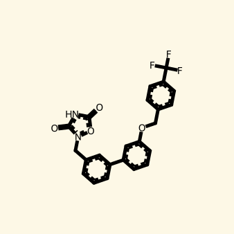 O=c1[nH]c(=O)n(Cc2cccc(-c3cccc(OCc4ccc(C(F)(F)F)cc4)c3)c2)o1